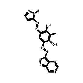 Cc1c(O)c(/N=N/c2snc3cncnc23)cc(/N=N/c2ccnn2C)c1O